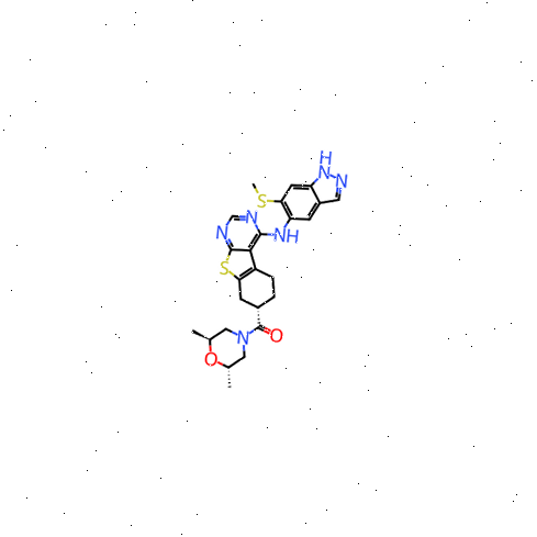 CSc1cc2[nH]ncc2cc1Nc1ncnc2sc3c(c12)CC[C@H](C(=O)N1C[C@H](C)O[C@@H](C)C1)C3